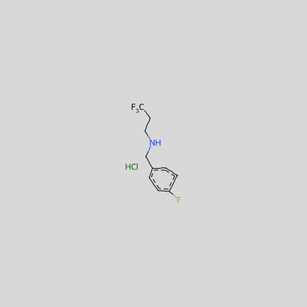 Cl.Fc1ccc(CNCCC(F)(F)F)cc1